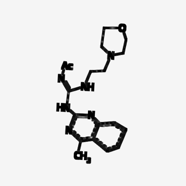 CC(=O)/N=C(\NCCN1CCOCC1)Nc1nc(C)c2ccccc2n1